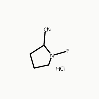 Cl.N#CC1CCCN1F